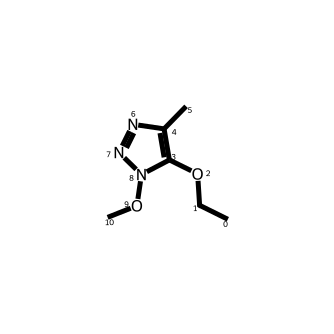 CCOc1c(C)nnn1OC